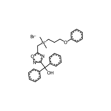 C[N+](C)(CCCOc1ccccc1)Cc1nc(C(O)(c2ccccc2)c2ccccc2)no1.[Br-]